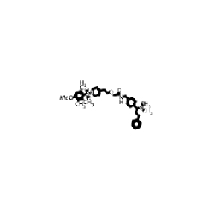 COc1cc(C)c(S(=O)(=O)N2CCC(CCOCC(=O)NCC3CCC(C(CCc4ccccc4)N(C)C)CC3)CC2)c(C)c1C